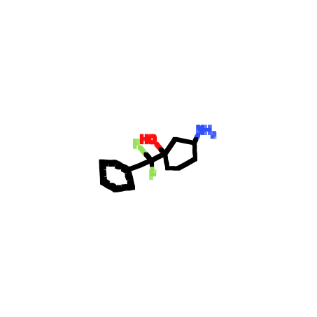 NC1CCCC(O)(C(F)(F)c2ccccc2)C1